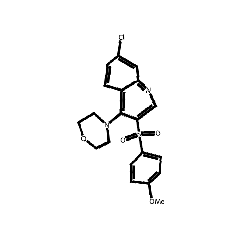 COc1ccc(S(=O)(=O)c2cnc3cc(Cl)ccc3c2N2CCOCC2)cc1